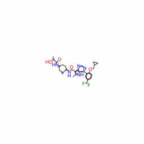 Cc1[nH]c2c(-c3cc(C(F)F)ccc3OCC3CC3)ncnc2c1C(=O)N[C@@H]1CC[C@H](NC(=O)[C@H](C)O)C[C@H]1C